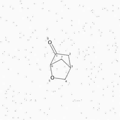 O=C1CC2COC1C2